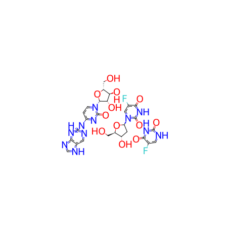 Nc1ccn([C@@H]2O[C@H](CO)[C@@H](O)[C@@H]2O)c(=O)n1.O=c1[nH]c(=O)n([C@H]2C[C@H](O)[C@@H](CO)O2)cc1F.O=c1[nH]cc(F)c(=O)[nH]1.c1ncc2[nH]cnc2n1